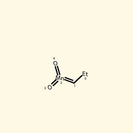 CC[CH]=[Mn](=[O])=[O]